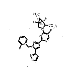 C[C@H]1[C@H]2CN(c3nc(-c4cc(-c5ccon5)n(Cc5ccccc5F)n4)ncc3F)C(C(=O)O)[C@@H]12